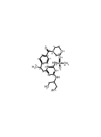 CC(C)CC(CO)Nc1nc(CC(C)c2ccc(C(=O)N3CCOCC3)cc2)nc(NS(C)(=O)=O)n1